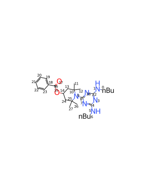 CCCCNc1nc(NCCCC)nc(N2C(C)(C)CC(OC(=O)c3ccccc3)CC2(C)C)n1